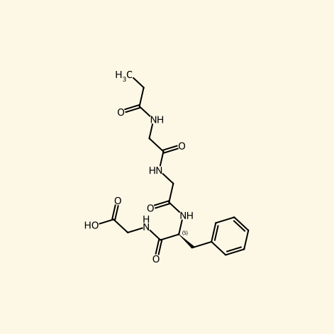 CCC(=O)NCC(=O)NCC(=O)N[C@@H](Cc1ccccc1)C(=O)NCC(=O)O